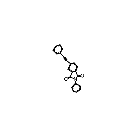 O=C1c2ccc(C#Cc3ccccc3)cc2C(=O)N1c1ccccc1